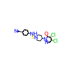 N#Cc1ccc(NSN2CCC(n3ncc(Cl)c(Cl)c3=O)CC2)cc1